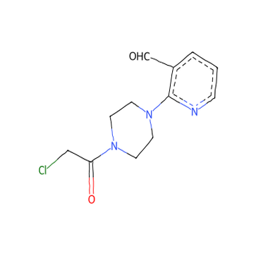 O=Cc1cccnc1N1CCN(C(=O)CCl)CC1